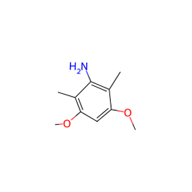 COc1cc(OC)c(C)c(N)c1C